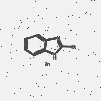 CCc1nc2ccccc2[nH]1.[Zn]